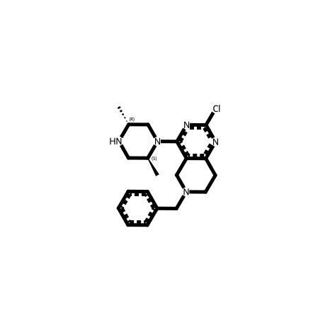 C[C@@H]1CN(c2nc(Cl)nc3c2CN(Cc2ccccc2)CC3)[C@@H](C)CN1